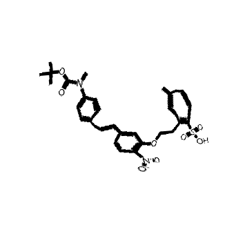 Cc1ccc(S(=O)(=O)O)c(CCOc2cc(/C=C/c3ccc(N(C)C(=O)OC(C)(C)C)cc3)ccc2[N+](=O)[O-])c1